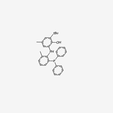 Cc1cc(Pc2c(C)cccc2P(c2ccccc2)c2ccccc2)c(O)c(C(C)(C)C)c1